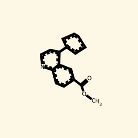 COC(=O)c1ccc2nccc(-c3ccccc3)c2c1